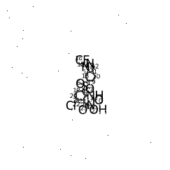 O=c1[nH]c2c(S(=O)(=O)c3ccc4cnn(CC(F)(F)F)c4c3)ccc(Cl)c2c(=O)n1O